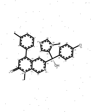 Cc1cccc(-c2cc(=O)n(C)c3cnc([C@](O)(c4ccc(Cl)cc4)c4cncn4C)cc23)c1